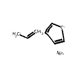 C=C[CH2-].[Ni+2].c1cc[cH-]c1